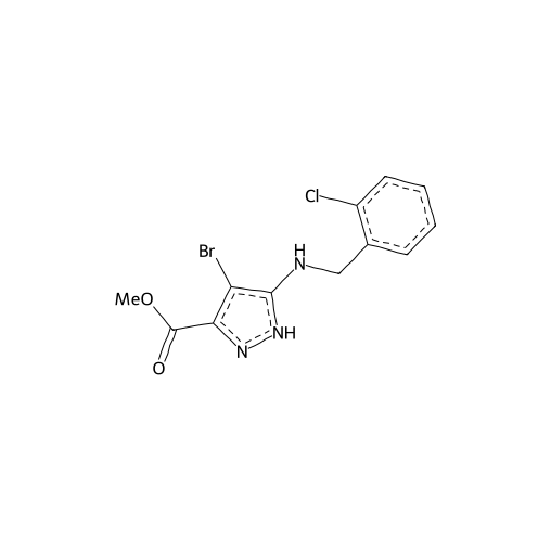 COC(=O)c1n[nH]c(NCc2ccccc2Cl)c1Br